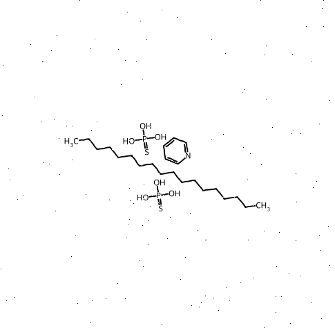 CCCCCCCCCCCCCCCCCC.OP(O)(O)=S.OP(O)(O)=S.c1ccncc1